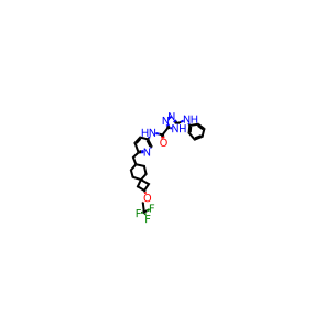 O=C(Nc1ccc(CC2CCC3(CC2)CC(OCC(F)(F)F)C3)nc1)c1nnc(Nc2ccccc2)[nH]1